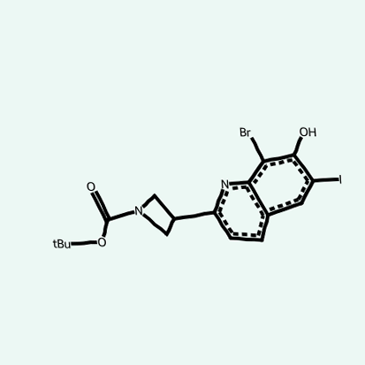 CC(C)(C)OC(=O)N1CC(c2ccc3cc(I)c(O)c(Br)c3n2)C1